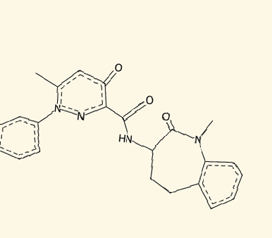 Cc1cc(=O)c(C(=O)NC2CCc3ccccc3N(C)C2=O)nn1-c1ccccc1